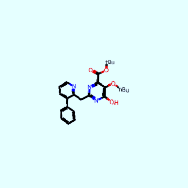 CCCCOc1c(O)nc(Cc2ncccc2-c2ccccc2)nc1C(=O)OC(C)(C)C